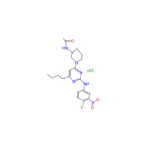 CCCCc1cc(N2CCCC(NC(C)=O)C2)nc(Nc2ccc(F)c([N+](=O)[O-])c2)n1.Cl